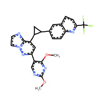 COc1ncc(-c2cc(C3CC3c3ccc4nc(C(F)(F)F)ccc4c3)c3nccn3n2)c(OC)n1